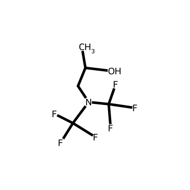 CC(O)CN(C(F)(F)F)C(F)(F)F